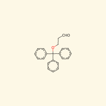 O=CCCOC(c1ccccc1)(c1ccccc1)c1ccccc1